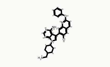 NCC1CCC(n2cc(-c3cc4nc(Oc5ccccc5)ccc4cc3Cl)c3c(N)ncnc32)CC1